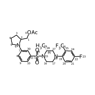 CC(=O)OCC1CCCN1c1cccc(S(=O)(=O)N2CCN(c3ccc(F)cc3C(F)(F)F)C[C@H]2C)c1